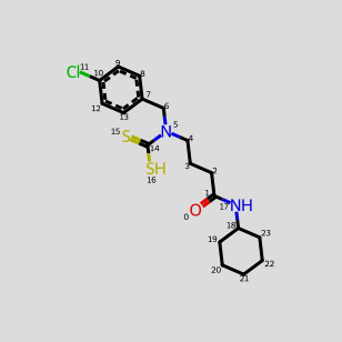 O=C(CCCN(Cc1ccc(Cl)cc1)C(=S)S)NC1CCCCC1